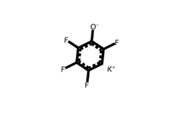 [K+].[O-]c1c(F)cc(F)c(F)c1F